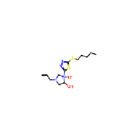 C=CCN1CC(O)[N+]([O-])(c2nnc(SCCCCC)s2)C1